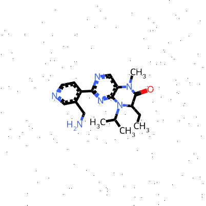 CCC1C(=O)N(C)c2cnc(-c3ccncc3CN)nc2N1C(C)C